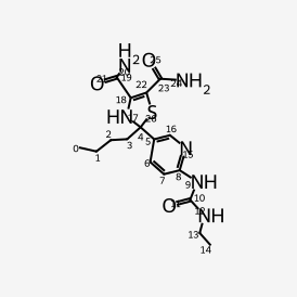 CCCCC1(c2ccc(NC(=O)NCC)nc2)NC(C(N)=O)=C(C(N)=O)S1